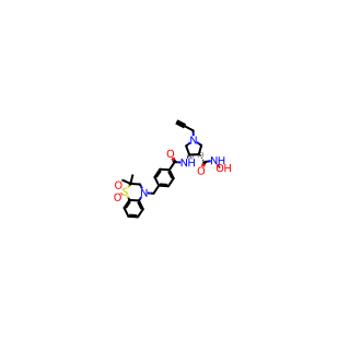 C#CCN1C[C@H](C(=O)NO)[C@H](NC(=O)c2ccc(CN3CC(C)(C)S(=O)(=O)c4ccccc43)cc2)C1